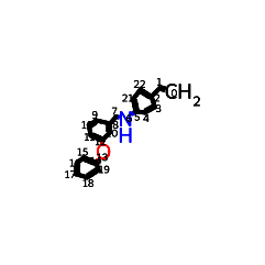 C=Cc1ccc(NCc2cccc(Oc3ccccc3)c2)cc1